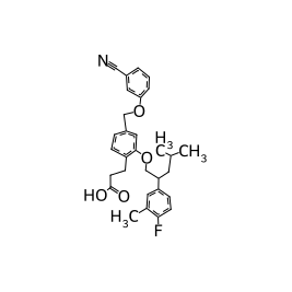 Cc1cc(C(COc2cc(COc3cccc(C#N)c3)ccc2CCC(=O)O)CC(C)C)ccc1F